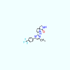 Cc1cc(-c2ccc(C(F)(F)F)cc2)nc([C@@H]2CC[C@]3(CCNC3=O)N2)n1